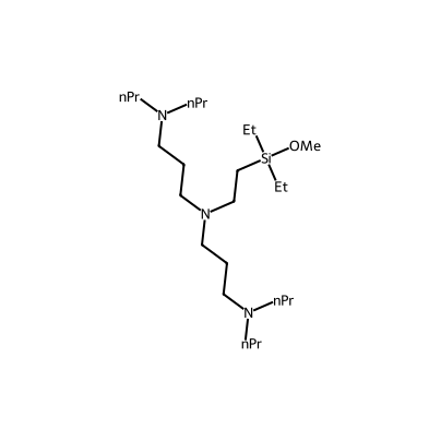 CCCN(CCC)CCCN(CCCN(CCC)CCC)CC[Si](CC)(CC)OC